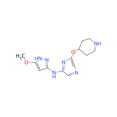 COc1cc(Nc2cncc(OC3CCNCC3)n2)n[nH]1